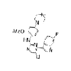 COc1cc(N2CC[N]CC2)ccc1Nc1ncc(Cl)c(-c2cnc3cc(F)ccn23)n1